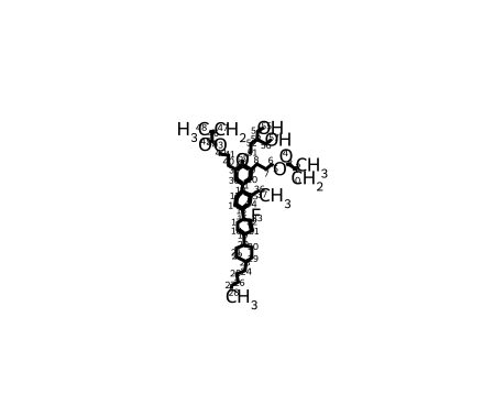 C=C(C)C(=O)OCCCc1cc(-c2ccc(C3CC=C(C4CCC(CCCCC)CC4)C=C3F)cc2CC)cc(CCCOC(=O)C(=C)C)c1OCCC(CO)CO